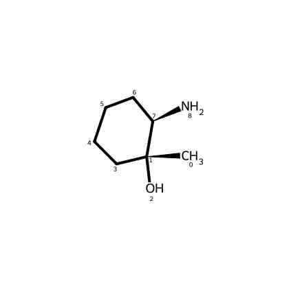 C[C@@]1(O)CCCC[C@H]1N